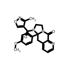 COc1ccc(C23Cc4cccnc4C(=O)N2CCN3C(=O)c2conc2C)cc1